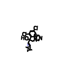 C[Si](C)(C)/C=C/C(O)(Cn1cncn1)c1ccc(Cl)cc1Cl